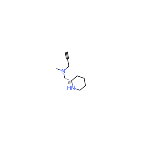 C#CCN(C)C[C@@H]1CCCCN1